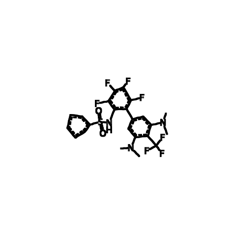 CN(C)c1cc(-c2c(F)c(F)c(F)c(F)c2NS(=O)(=O)c2ccccc2)cc(N(C)C)c1C(F)(F)F